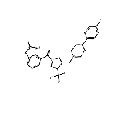 Cc1cc2cccc(C(=O)N3CC(CN4CCC(c5ccc(F)cc5)CC4)C(C(F)(F)F)C3)c2[nH]1